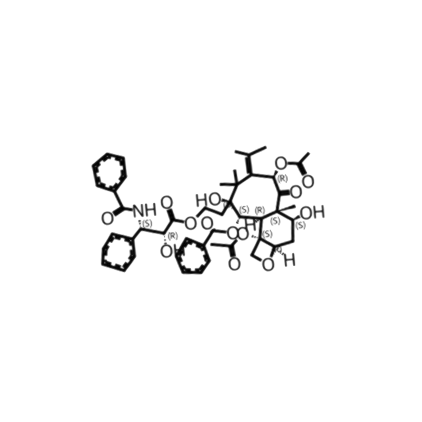 CC(=O)O[C@H]1C(=O)[C@@]2(C)[C@H]([C@H](OC(=O)c3ccccc3)[C@](O)(CCOC(=O)[C@H](O)[C@@H](NC(=O)c3ccccc3)c3ccccc3)C(C)(C)C1=C(C)C)[C@]1(OC(C)=O)CO[C@@H]1C[C@@H]2O